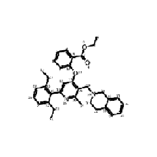 CCOC(=O)c1ccccc1Oc1cc(-c2c(CC)cccc2CC)nc(C)c1CN1CCc2ccccc2C1